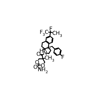 CC1(C(=O)N2CC[C@@]3(Cc4ccc(F)cc4)c4ccc(C(C)(F)C(F)(F)F)cc4CC[C@@H]23)COP(N)(=O)OC1